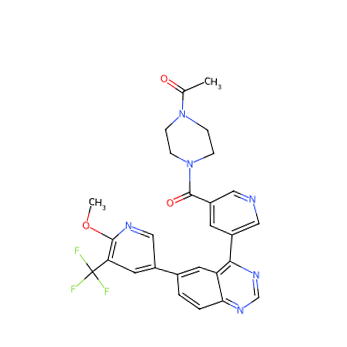 COc1ncc(-c2ccc3ncnc(-c4cncc(C(=O)N5CCN(C(C)=O)CC5)c4)c3c2)cc1C(F)(F)F